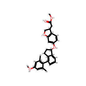 COC(=O)CC1COc2cc(O[C@@H]3CCc4c(-c5c(C)cc(OC)cc5C)cccc43)ccc21